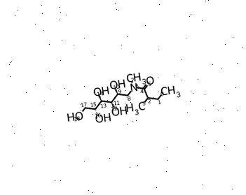 CCC(C)C(=O)N(C)C[C@H](O)[C@@H](O)[C@H](O)[C@H](O)CO